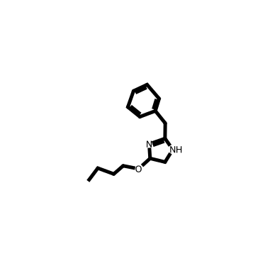 CCCCOC1CNC(Cc2ccccc2)=N1